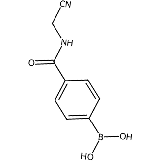 N#CCNC(=O)c1ccc(B(O)O)cc1